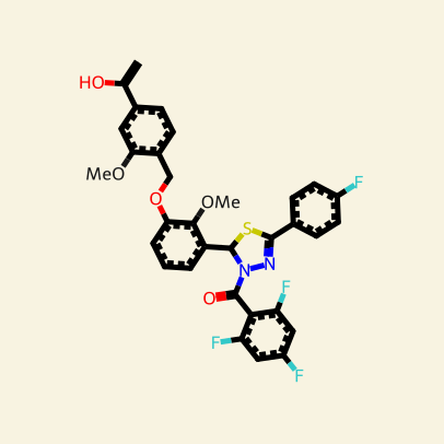 C=C(O)c1ccc(COc2cccc(C3SC(c4ccc(F)cc4)=NN3C(=O)c3c(F)cc(F)cc3F)c2OC)c(OC)c1